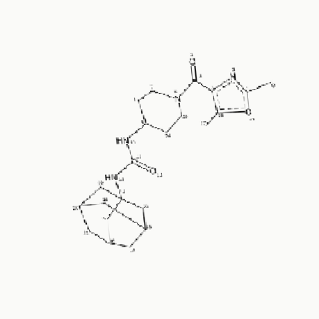 Cc1nc(C(=O)N2CCC(NC(=O)NC34CC5CC(CC(C5)C3)C4)CC2)c(C)o1